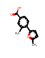 Cc1ccc(-c2ccc(C(=O)O)cc2C)o1